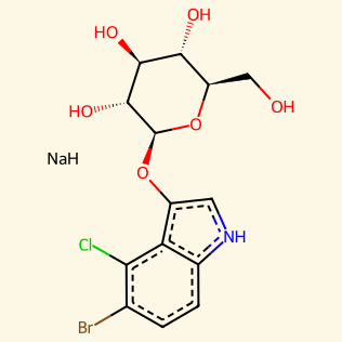 OC[C@H]1O[C@@H](Oc2c[nH]c3ccc(Br)c(Cl)c23)[C@H](O)[C@@H](O)[C@@H]1O.[NaH]